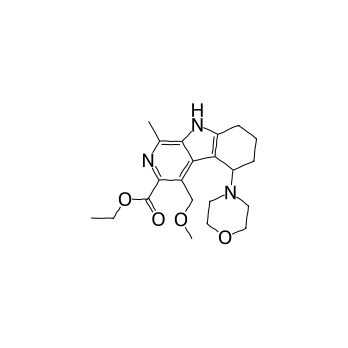 CCOC(=O)c1nc(C)c2[nH]c3c(c2c1COC)C(N1CCOCC1)CCC3